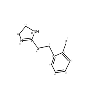 Fc1ccccc1CSC1=NCCN1